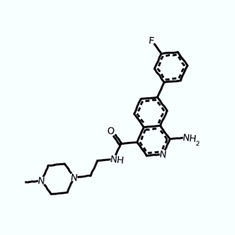 CN1CCN(CCNC(=O)c2cnc(N)c3cc(-c4cccc(F)c4)ccc23)CC1